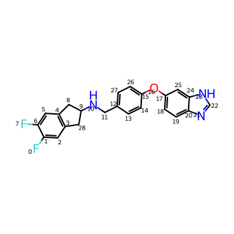 Fc1cc2c(cc1F)CC(NCc1ccc(Oc3ccc4nc[nH]c4c3)cc1)C2